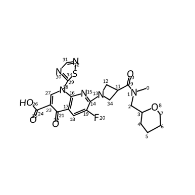 CN(CC1CCCCO1)C(=O)C1CN(c2nc3c(cc2F)c(=O)c(C(=O)O)cn3-c2ncns2)C1